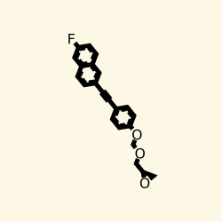 Fc1ccc2cc(C#Cc3ccc(OCOCC4CO4)cc3)ccc2c1